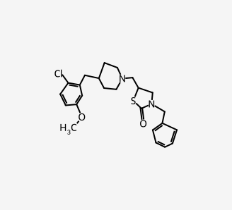 COc1ccc(Cl)c(CC2CCN(CC3CN(Cc4ccccc4)C(=O)S3)CC2)c1